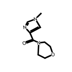 Cn1cnc(C(=O)N2CCOCC2)c1